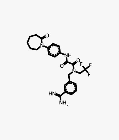 N=C(N)c1cccc(CN(CC(F)(F)F)C(=O)C(=O)Nc2ccc(N3CCCCCC3=O)cc2)c1